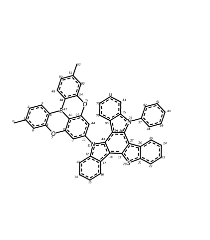 Cc1ccc2c(c1)Oc1cc(-n3c4ccccc4c4c5sc6ccccc6c5c5c(c6ccccc6n5-c5ccccc5)c43)cc3c1B2c1ccc(C)cc1O3